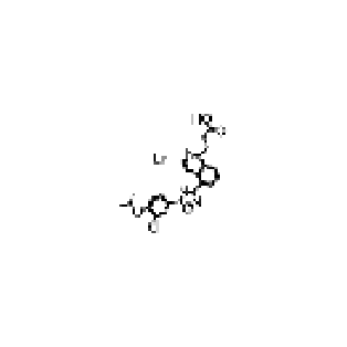 CC(C)Oc1ccc(-c2nc(-c3cccc4c(CCC(=O)O)nccc34)no2)cc1Cl.[Li]